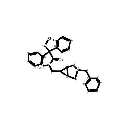 COC(C(=O)N(C)CC1C2CN(Cc3ccccc3)CC21)(c1ccccc1)c1ccccc1